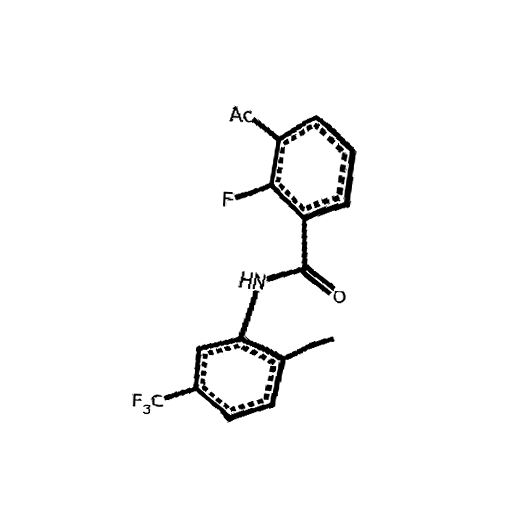 CC(=O)c1cccc(C(=O)Nc2cc(C(F)(F)F)ccc2C)c1F